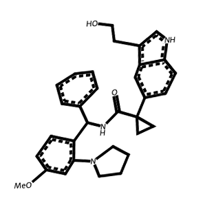 COc1ccc(C(NC(=O)C2(c3ccc4[nH]cc(CCO)c4c3)CC2)c2ccccc2)c(N2CCCC2)c1